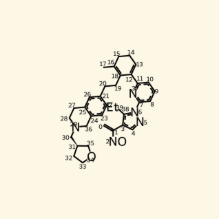 C=C(N=O)c1cnn(-c2cccc(C3=CCCC(C)=C3CCc3ccc4c(c3)CCN(C[C@@H]3CCOC3)C4)n2)c1CC